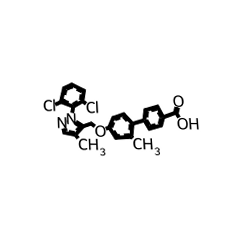 Cc1cc(OCc2c(C)cnn2-c2c(Cl)cccc2Cl)ccc1-c1ccc(C(=O)O)cc1